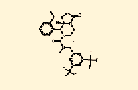 CCc1ccccc1[C@H]1[C@@H]2CCC(=O)N2CCN1C(=O)N(C)[C@H](C)c1cc(C(F)(F)F)cc(C(F)(F)F)c1